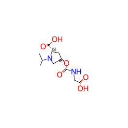 CC(C)N1C[C@H](OC(=O)NCC(=O)O)C[C@H]1C(=O)O